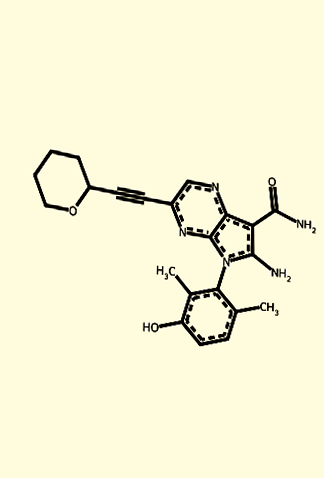 Cc1ccc(O)c(C)c1-n1c(N)c(C(N)=O)c2ncc(C#CC3CCCCO3)nc21